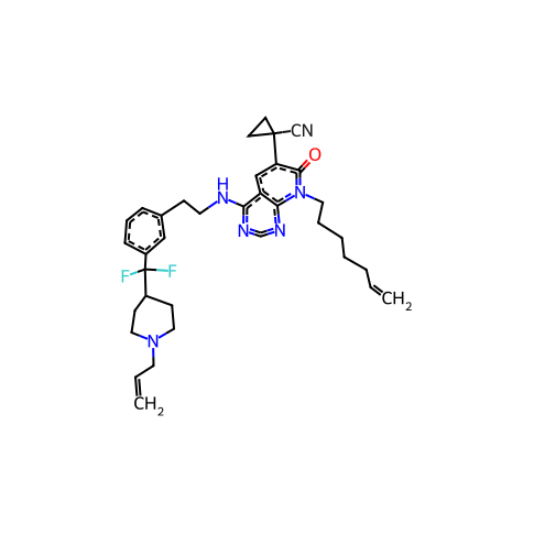 C=CCCCCCn1c(=O)c(C2(C#N)CC2)cc2c(NCCc3cccc(C(F)(F)C4CCN(CC=C)CC4)c3)ncnc21